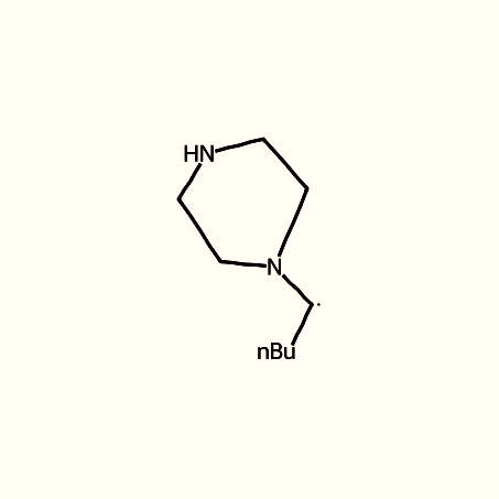 CCCC[CH]N1CCNCC1